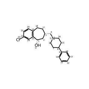 O[C@H]1C[C@@H](CN2CCC(c3ccccc3)CC2)CCc2ccc(Cl)cc21